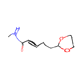 CNC(=O)C=CCCC1OCCO1